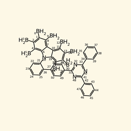 Bc1c(B)c(B)c2c(c1B)c1c(B)c(B)c(B)c(B)c1n2-c1ccccc1-c1ccc(-c2nc(-c3ccccc3)nc(-c3ccccc3)n2)cc1